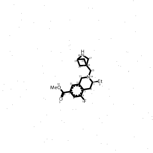 CC[C@H]1Cc2c(F)cc(C(=O)OC)cc2CN1CC12CNC(C1)C2